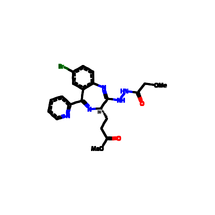 COCC(=O)NNC1=Nc2ccc(Br)cc2C(c2ccccn2)=N[C@H]1CCC(=O)OC